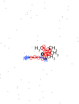 CC(=O)OC[C@H]1O[C@@H](Oc2ccccc2OS(=O)(=NCCOCCOCCOCCN=[N+]=[N-])n2ccnc2)[C@H](OC(C)=O)[C@@H](OC(C)=O)[C@H]1OC(C)=O